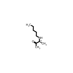 CCCCCN[C@@H](C)C(C)=O